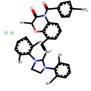 CC(C)c1cccc(C(C)C)c1N1CCN(c2c(C(C)C)cccc2C(C)C)[CH]1/[Ru+2]=[CH]/c1cccc2c1OC(C(C)C)C(=O)N2C(=O)c1ccc([N+](=O)[O-])cc1.[Cl-].[Cl-]